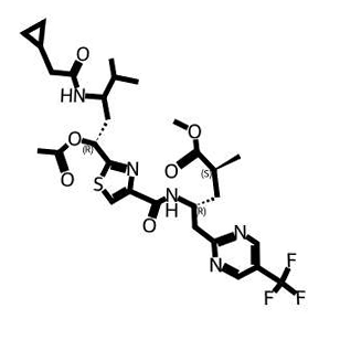 COC(=O)[C@@H](C)C[C@H](Cc1ncc(C(F)(F)F)cn1)NC(=O)c1csc([C@@H](CC(NC(=O)CC2CC2)C(C)C)OC(C)=O)n1